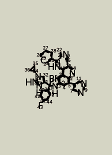 BC(Nc1cc(-c2cncnc2)c2ncc(C#N)c(N[C@H](CC)c3ccccc3)c2c1)(C1=CN(C2CC2)NN1)c1ccc(F)cc1